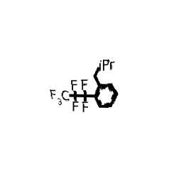 [CH2]C(C)Cc1ccccc1C(F)(F)C(F)(F)C(F)(F)F